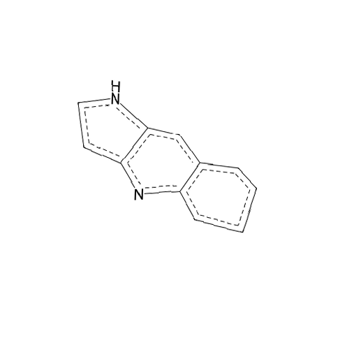 c1ccc2nc3cc[nH]c3cc2c1